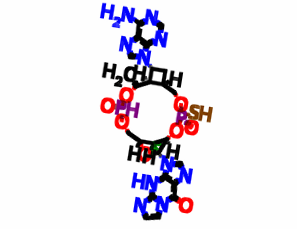 C=C1O[PH](=O)OC[C@H]2O[C@@H](n3cnc4c(=O)n5ccnc5[nH]c43)[C@H](O[P@@](=O)(S)OC[C@H]3C[C@@H](n4cnc5c(N)ncnc54)[C@H]13)[C@@H]2F